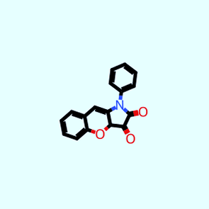 O=C1C(=O)N(c2ccccc2)C2=Cc3ccccc3OC12